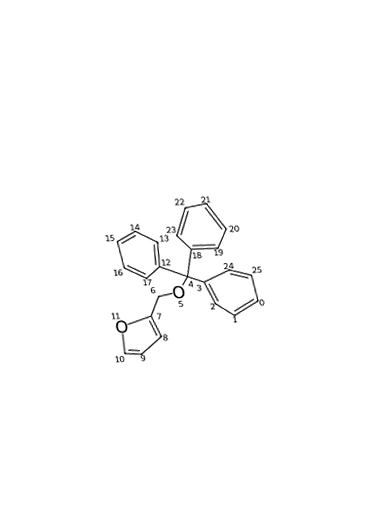 c1ccc(C(OCc2ccco2)(c2ccccc2)c2ccccc2)cc1